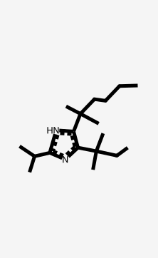 CCCCC(C)(C)c1[nH]c(C(C)C)nc1C(C)(C)CC